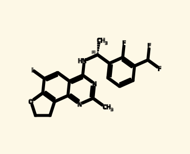 Cc1nc(N[C@H](C)c2cccc(C(F)F)c2F)c2cc(I)c3c(c2n1)CCO3